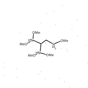 CO[SiH2]CC([SiH](OC)OC)[SiH](OC)OC